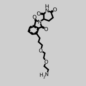 NCCOCCOCCCc1cccc2c1C(=O)N(C1CCC(=O)NC1=O)C2=O